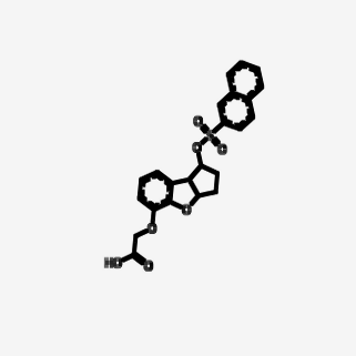 O=C(O)COc1cccc2c1OC1CCC(OS(=O)(=O)c3ccc4ccccc4c3)C21